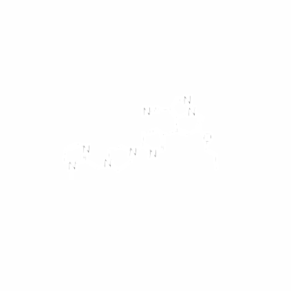 CCCOc1cc(-c2ccc(N3CCN(CC4=NC=CCN4C)CC3)nc2)c2c(C#N)cnn2c1